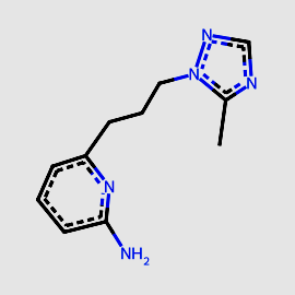 Cc1ncnn1CCCc1cccc(N)n1